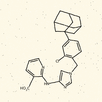 O=C(O)c1cccnc1Nc1cn(Cc2ccc(C34CC5CC(CC(C5)C3)C4)cc2Cl)cn1